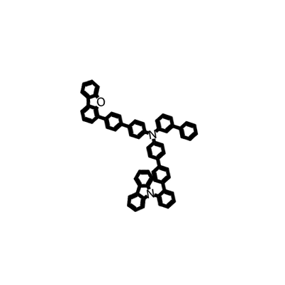 c1ccc(-c2cccc(N(c3ccc(-c4ccc(-c5ccccc5-n5c6ccccc6c6ccccc65)cc4)cc3)c3ccc(-c4ccc(-c5cccc6c5oc5ccccc56)cc4)cc3)c2)cc1